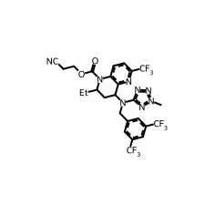 CCC1CC(N(Cc2cc(C(F)(F)F)cc(C(F)(F)F)c2)c2nnn(C)n2)c2nc(C(F)(F)F)ccc2N1C(=O)OCCC#N